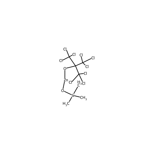 C[Si](C)(C)[O][Zn][O]C(C(Cl)(Cl)Cl)(C(Cl)(Cl)Cl)C(Cl)(Cl)Cl